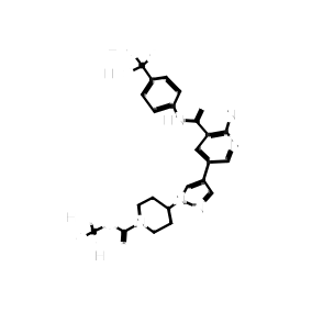 CC(C)(C)OC(=O)N1CCC(n2cc(-c3cnc(N)c(C(=O)Nc4ccc(C(C)(C)C)cc4)c3)cn2)CC1